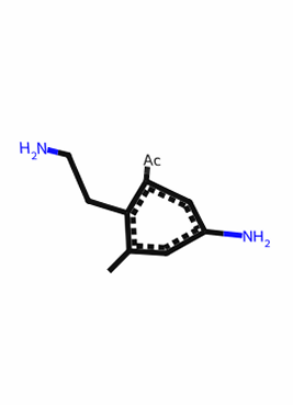 CC(=O)c1cc(N)cc(C)c1CCN